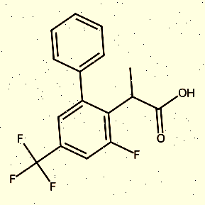 CC(C(=O)O)c1c(F)cc(C(F)(F)F)cc1-c1ccccc1